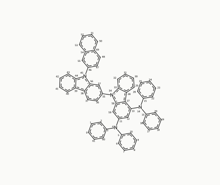 c1ccc(N(c2ccccc2)c2cc(N(c3ccccc3)c3ccccc3)c3c4ccccc4n(-c4ccc5c6ccccc6n(-c6ccc7ccccc7c6)c5c4)c3c2)cc1